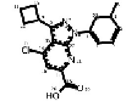 CC1C=CC=C(n2nc(C3CCC3)c3c(Cl)cc(C(=O)O)nc32)C1